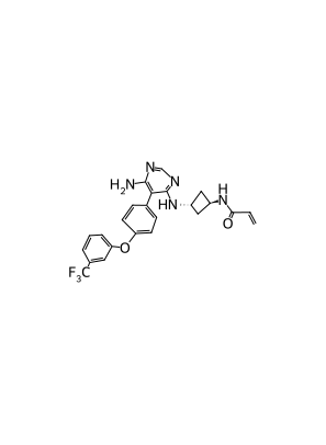 C=CC(=O)N[C@H]1C[C@H](Nc2ncnc(N)c2-c2ccc(Oc3cccc(C(F)(F)F)c3)cc2)C1